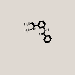 N/C=C(\NN)c1cccc(NC(=O)c2ccccc2)c1